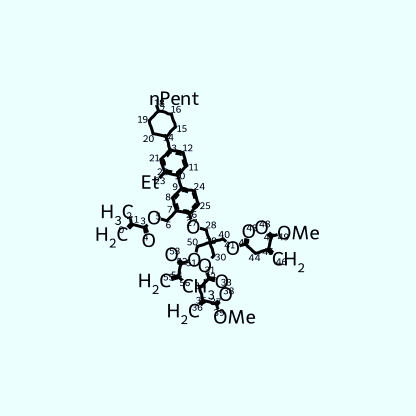 C=C(C)C(=O)OCc1cc(-c2ccc(C3CCC(CCCCC)CC3)cc2CC)ccc1OCC(COC(=O)CC(=C)C(=O)OC)(COC(=O)CC(=C)C(=O)OC)COC(=O)C(=C)C